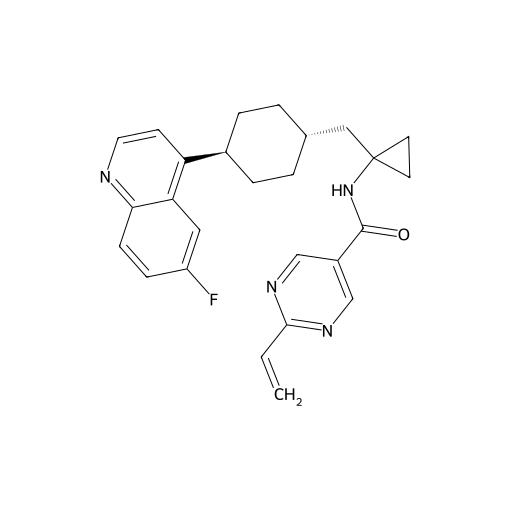 C=Cc1ncc(C(=O)NC2(C[C@H]3CC[C@H](c4ccnc5ccc(F)cc54)CC3)CC2)cn1